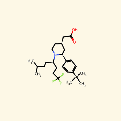 CC(C)CC[C@H](CCC(F)(F)F)N1CC[C@@H](CC(=O)O)C[C@H]1c1ccc([Si](C)(C)C)cc1